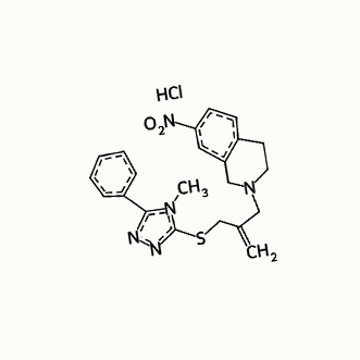 C=C(CSc1nnc(-c2ccccc2)n1C)CN1CCc2ccc([N+](=O)[O-])cc2C1.Cl